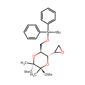 CO[C@]1(C)O[C@@H](CO[Si](c2ccccc2)(c2ccccc2)C(C)(C)C)[C@H](C2CO2)O[C@@]1(C)OC